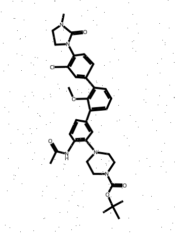 COc1c(-c2ccc(N3CCN(C)C3=O)c(Cl)c2)cccc1-c1ccc(NC(C)=O)c(N2CCN(C(=O)OC(C)(C)C)CC2)c1